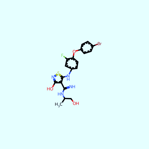 CC(CO)NC(=N)c1c(O)nsc1Nc1ccc(Oc2ccc(Br)cc2)c(F)c1